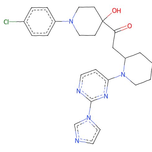 O=C(CC1CCCCN1c1ccnc(-n2ccnc2)n1)C1(O)CCN(c2ccc(Cl)cc2)CC1